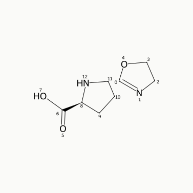 C1=NCCO1.O=C(O)[C@@H]1CCCN1